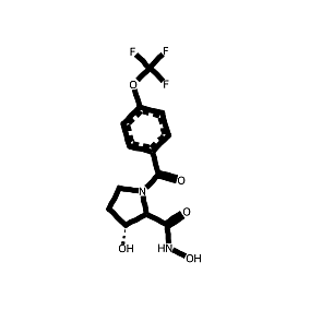 O=C(NO)C1[C@H](O)CCN1C(=O)c1ccc(OC(F)(F)F)cc1